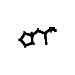 CC(I)CN1CCCC1